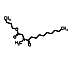 CCCCCCCCCC(=O)N(C)CC(=O)OCCCC